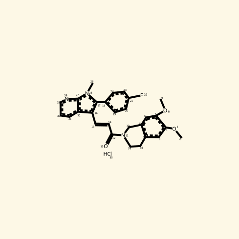 COc1cc2c(cc1OC)CN(C(=O)/C=C/c1c(-c3ccc(F)cc3)n(C)c3ncccc13)CC2.Cl